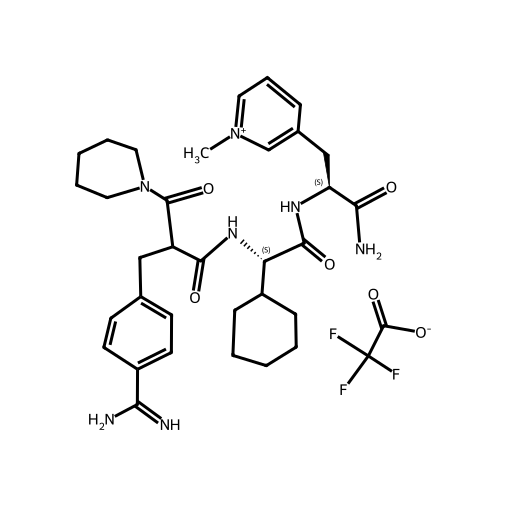 C[n+]1cccc(C[C@H](NC(=O)[C@@H](NC(=O)C(Cc2ccc(C(=N)N)cc2)C(=O)N2CCCCC2)C2CCCCC2)C(N)=O)c1.O=C([O-])C(F)(F)F